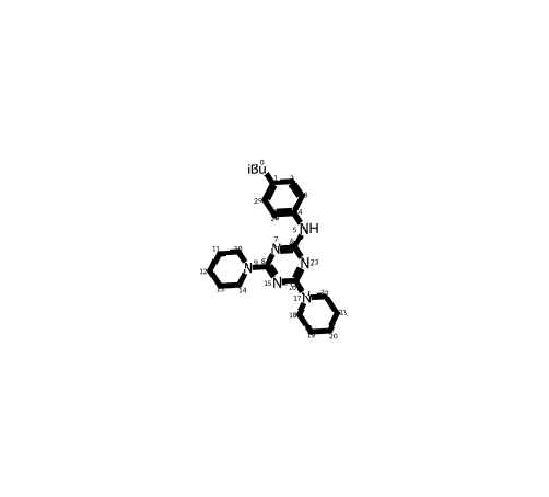 CCC(C)c1ccc(Nc2nc(N3CCCCC3)nc(N3CCCCC3)n2)cc1